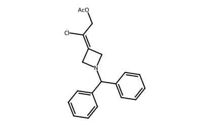 CC(=O)OCC(Cl)=C1CN(C(c2ccccc2)c2ccccc2)C1